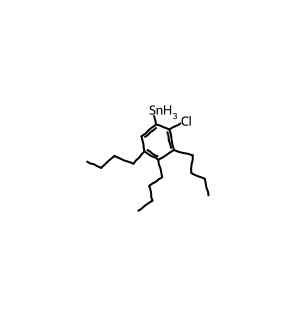 CCCCc1c[c]([SnH3])c(Cl)c(CCCC)c1CCCC